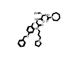 CC(C)C[C@H](NC(=O)N1CCCCCC1)C(=O)N[C@@H](Cc1ccc(OCc2ccccc2)cc1)C(=O)NCCCN1CCCC1